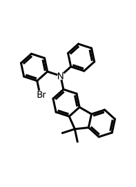 CC1(C)c2ccccc2-c2cc(N(c3ccccc3)c3ccccc3Br)ccc21